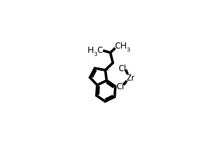 CC(C)C[C]1C=Cc2ccccc21.[Cl][Zr][Cl]